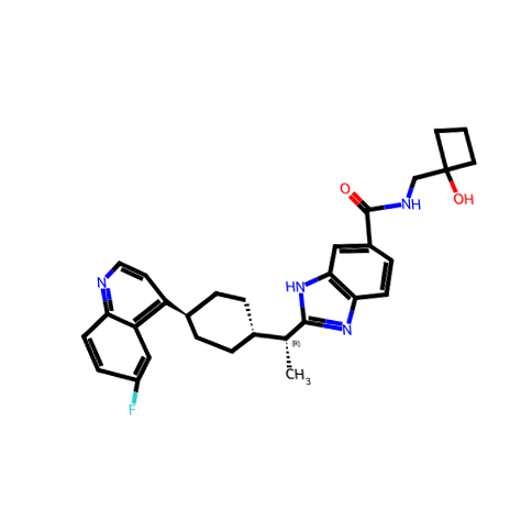 C[C@@H](c1nc2ccc(C(=O)NCC3(O)CCC3)cc2[nH]1)[C@H]1CC[C@H](c2ccnc3ccc(F)cc32)CC1